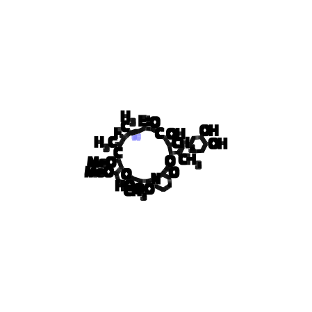 CCC1/C=C(\C)C(F)C(C)CC(OC)C2OC(O)(C(=O)C(=O)N3CCCCC3C(=O)OC(C(C)=CC3CCC(O)C(O)C3)C(C)C(O)CC1=O)C(C)CC2OC